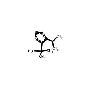 CC(C)c1ncsc1C(C)(C)C